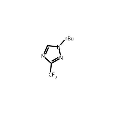 CCCCn1cnc(C(F)(F)F)n1